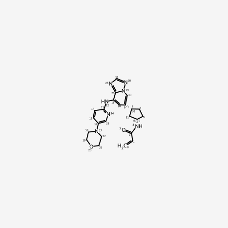 C=CC(=O)N[C@H]1CC[C@@H](c2cc(Nc3ccc(N4CCOCC4)cn3)c3ncnn3c2)C1